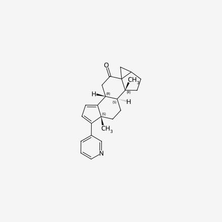 C[C@]12CC[C@H]3[C@@H](CC(=O)C45CC4CC[C@]35C)C1=CC=C2c1cccnc1